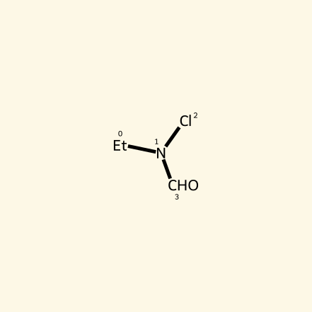 CCN(Cl)C=O